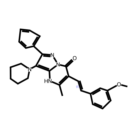 COc1cccc(/C=C/c2c(C)[nH]c3c(N4CCCCC4)c(-c4ccccc4)nn3c2=O)c1